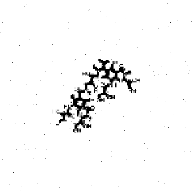 CC(C)=C(c1c(I)c(NC(=O)C(O)CO)c(I)c(C(=O)N(C)CC(O)CO)c1I)N(C)CC(O)C(O)CN(C)C(=O)c1c(I)c(NC(=O)C(O)CO)c(I)c(C(=O)N(C)CC(O)CO)c1I